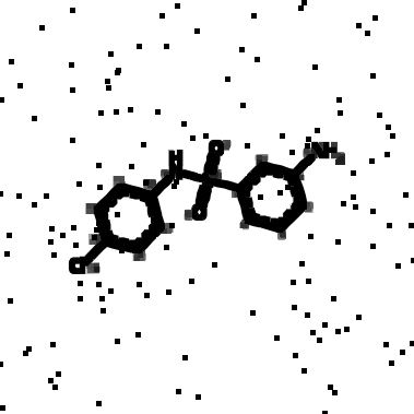 Nc1cccc(S(=O)(=O)Nc2ccc(Cl)cc2)c1